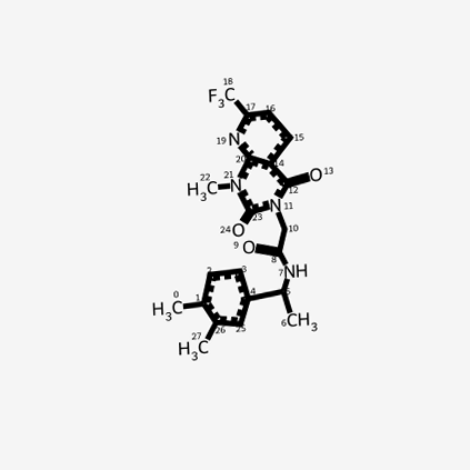 Cc1ccc(C(C)NC(=O)Cn2c(=O)c3ccc(C(F)(F)F)nc3n(C)c2=O)cc1C